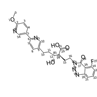 COc1ccc(-c2ccc(CC[C@@H](O)[C@H](CCn3nnc4cccc(F)c4c3=O)C(=O)O)cn2)cn1